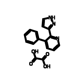 O=C(O)C(=O)O.c1ccc(-c2cccnc2-c2cc[nH]n2)cc1